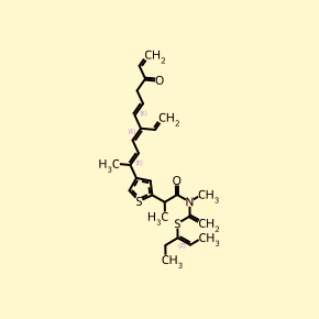 C=CC(=O)C/C=C/C(C=C)=C/C=C(\C)c1csc(C(C)C(=O)N(C)C(=C)S/C(=C\C)CC)c1